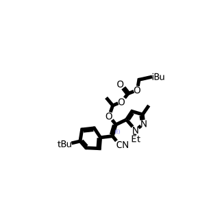 CCC(C)COC(=O)OC(C)O/C(=C(/C#N)c1ccc(C(C)(C)C)cc1)c1cc(C)nn1CC